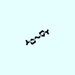 CC(C)N1CCN(CCN2CCN(C(C)C)C2)C1